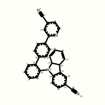 N#Cc1ccnc(-c2ccc(-c3ccccc3N3c4ccc(C#N)cc4C4C=CC=CC43)cc2)c1